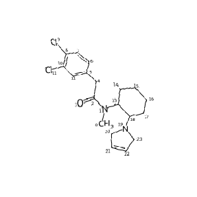 CN(C(=O)Cc1ccc(Cl)c(Cl)c1)C1CCCCC1N1CC=CC1